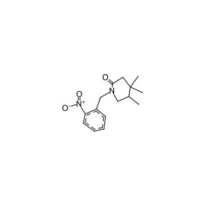 CC1CN(Cc2ccccc2[N+](=O)[O-])C(=O)CC1(C)C